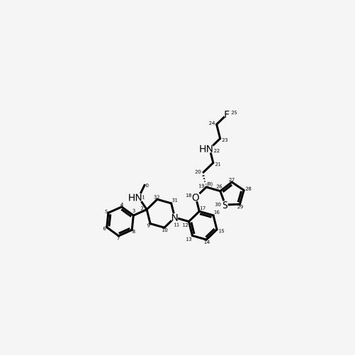 CNC1(c2ccccc2)CCN(c2ccccc2O[C@H](CCNCCF)c2cccs2)CC1